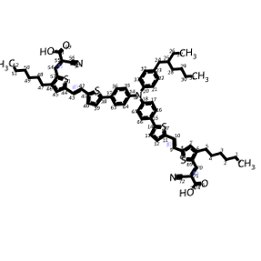 CCCCCCc1cc(/C=C/c2ccc(-c3ccc(N(c4ccc(CC(CC)CCCC)cc4)c4ccc(-c5ccc(/C=C/c6cc(CCCCCC)c(/C=C(\C#N)C(=O)O)s6)s5)cc4)cc3)s2)sc1/C=C(\C#N)C(=O)O